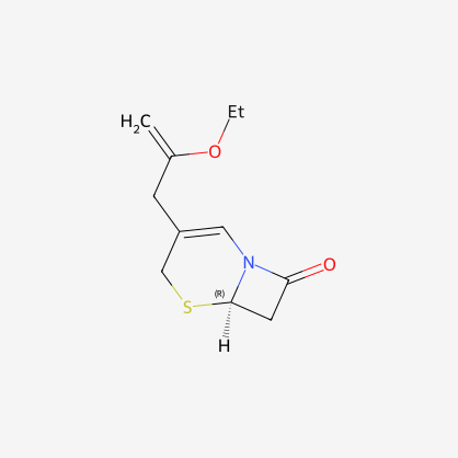 C=C(CC1=CN2C(=O)C[C@H]2SC1)OCC